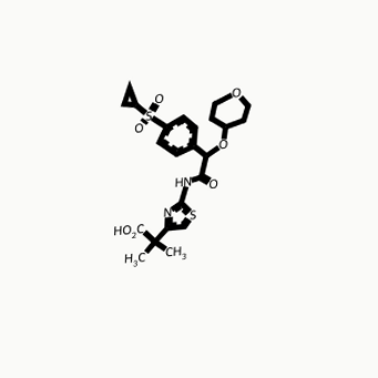 CC(C)(C(=O)O)c1csc(NC(=O)C(OC2CCOCC2)c2ccc(S(=O)(=O)C3CC3)cc2)n1